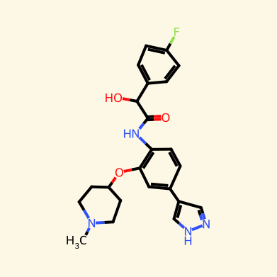 CN1CCC(Oc2cc(-c3cn[nH]c3)ccc2NC(=O)C(O)c2ccc(F)cc2)CC1